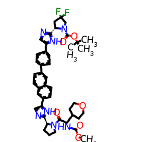 COC(=O)N[C@H](C(=O)N1CCC[C@H]1c1ncc(-c2ccc3cc(-c4ccc(-c5cnc([C@@H]6CC(F)(F)CN6C(=O)OC(C)(C)C)[nH]5)cc4)ccc3c2)[nH]1)C1CCOCC1